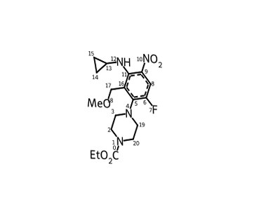 CCOC(=O)N1CCN(c2c(F)cc([N+](=O)[O-])c(NC3CC3)c2COC)CC1